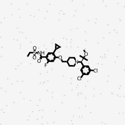 CCS(=O)(=O)NC(=O)c1cc(C2CC2)c(OCC2CCN([C@H](c3cc(Cl)cc(Cl)c3)C(C)(C)OC)CC2)cc1F